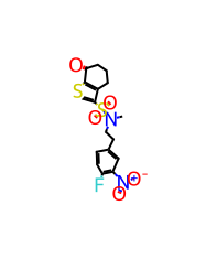 CN(CCc1ccc(F)c([N+](=O)[O-])c1)S(=O)(=O)c1csc2c1CCCC2=O